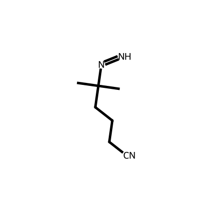 CC(C)(CCCC#N)N=N